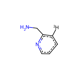 [2H]c1cccnc1CN